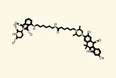 CCc1cc2c(cc1N1CC(C)N(CCCCCC(=O)NCCCCCCNc3cccc4c(=C=O)n(C5CCC(=C=O)NC5=C=O)c(=C=O)c34)C(C)C1)C(C)(C)c1[nH]c3cc(C#N)ccc3c1C2=C=O